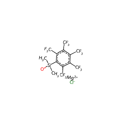 C[Si](C)([O-])c1c(C(F)(F)F)c(C(F)(F)F)c(C(F)(F)F)c(C(F)(F)F)c1C(F)(F)F.[Cl-].[Mg+2]